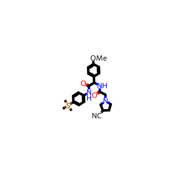 COc1ccc(C(NC(=O)CN2CCC(C#N)C2)C(=O)Nc2ccc(S(C)(C)C)cc2)cc1